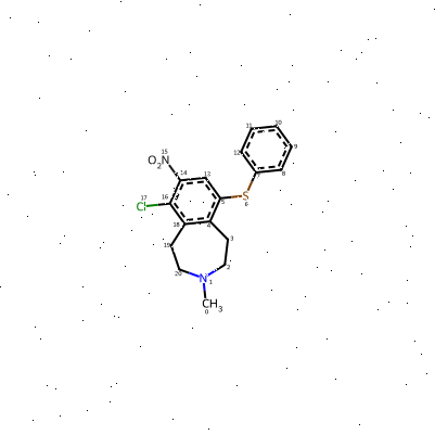 CN1CCc2c(Sc3ccccc3)cc([N+](=O)[O-])c(Cl)c2CC1